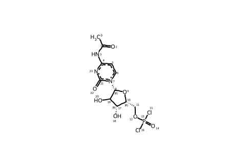 CC(=O)Nc1ccn([C@@H]2O[C@H](COP(=O)(Cl)Cl)[C@H](O)C2O)c(=O)n1